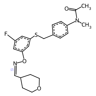 CC(=O)N(C)c1ccc(CSc2cc(F)cc(O/N=C\C3CCOCC3)c2)cc1